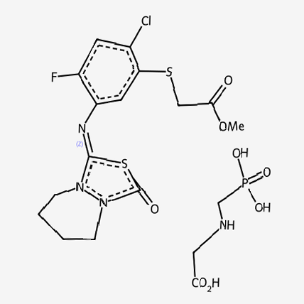 COC(=O)CSc1cc(/N=c2\sc(=O)n3n2CCCC3)c(F)cc1Cl.O=C(O)CNCP(=O)(O)O